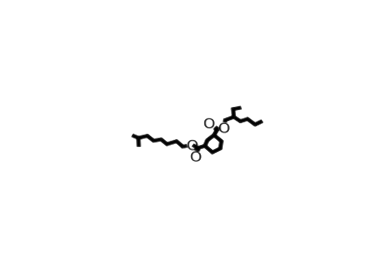 CCCCC(CC)COC(=O)C1CCCC(C(=O)OCCCCCCC(C)C)C1